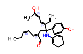 C=C/C(=C\C=C(/C)O)C(C/C(C=O)=C\C=C/CC)(NC1=CCCC=C1)c1ccc(O)cc1